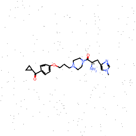 Cn1cnc(C[C@@H](N)C(=O)N2CCN(CCCOc3ccc(C(=O)C4CC4)cc3)CC2)c1